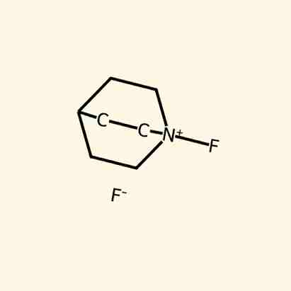 F[N+]12CCC(CC1)CC2.[F-]